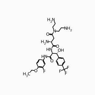 CCOc1ccc(NC(=O)[C@@H](NC(=O)[C@@H](N)CC(=O)N(CCN)CCN)[C@H](O)c2ccc(C(F)(F)F)cc2)cc1F